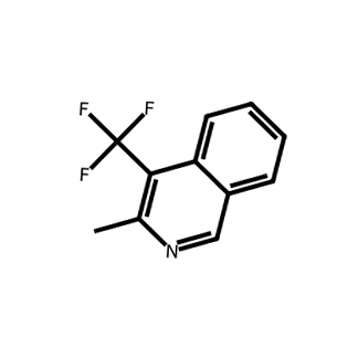 Cc1ncc2ccccc2c1C(F)(F)F